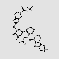 CC(=O)OCc1c(-c2cc(Nc3nc4c(s3)CN(C(=O)OC(C)(C)C)CC4)c(=O)n(C)c2)ccnc1N1CCn2c(cc3c2CC(C)(C)C3)C1=O